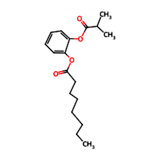 CCCCCCCC(=O)Oc1ccccc1OC(=O)C(C)C